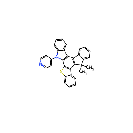 CC1(C)c2ccccc2-c2c1c1c3ccccc3sc1c1c2c2ccccc2n1-c1ccncc1